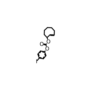 O=C(Oc1ccc(I)cc1)OC1/C=C/CCCCC1